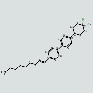 CCCCCCCC=Cc1ccc(-c2ccc(C3CCC(F)(F)CC3)cc2)cc1